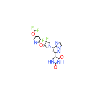 O=c1[nH]cc(-c2cc(N3C[C@@H](Oc4ccc(OC(F)F)cn4)C(F)(F)C3)c3nccn3n2)c(=O)[nH]1